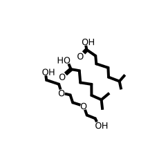 CC(C)CCCCC(=O)O.CC(C)CCCCC(=O)O.OCCOCCOCCO